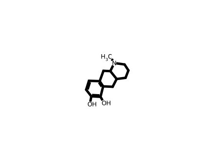 CN1CCCC2Cc3c(ccc(O)c3O)CC21